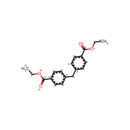 CCOC(=O)c1ccc([CH]c2ccc(C(=O)OCC)cc2)cc1